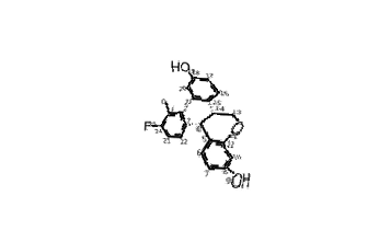 Cc1cc([C@H]2c3ccc(O)cc3OC[C@H]2c2ccc(O)cc2)ccc1F